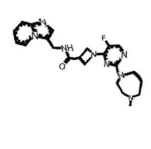 CN1CCCN(c2ncc(F)c(N3CC(C(=O)NCc4cnc5ccccn45)C3)n2)CC1